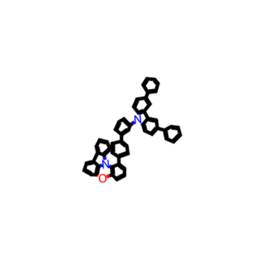 c1ccc(-c2ccc3c(c2)c2cc(-c4ccccc4)ccc2n3-c2cccc(-c3ccc(-c4cccc5c4-n4c6ccccc6c6cccc(c64)O5)cc3)c2)cc1